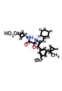 CC(C)(C)c1cc(-c2oc(C(=O)N[C@H]3C[C@H](C(=O)O)C3)nc2CC2CCCCC2)cc(C2(C)CC2)c1